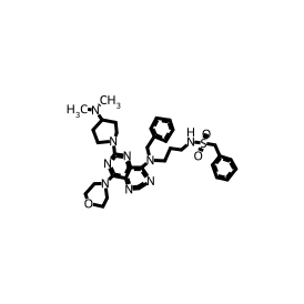 CN(C)C1CCN(c2nc(N3CCOCC3)c3ncnc(N(CCCNS(=O)(=O)Cc4ccccc4)Cc4ccccc4)c3n2)CC1